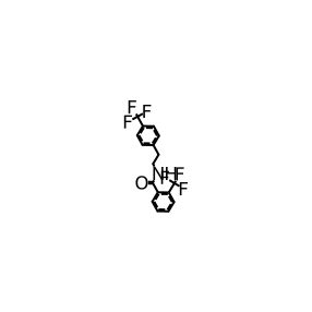 O=C(NCCc1ccc(C(F)(F)F)cc1)c1ccccc1C(F)(F)F